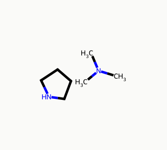 C1CCNC1.CN(C)C